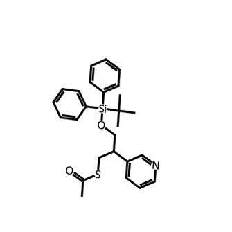 CC(=O)SCC(CO[Si](c1ccccc1)(c1ccccc1)C(C)(C)C)c1cccnc1